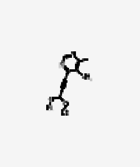 CCOC(C#Cc1ncnc(I)c1N)OCC